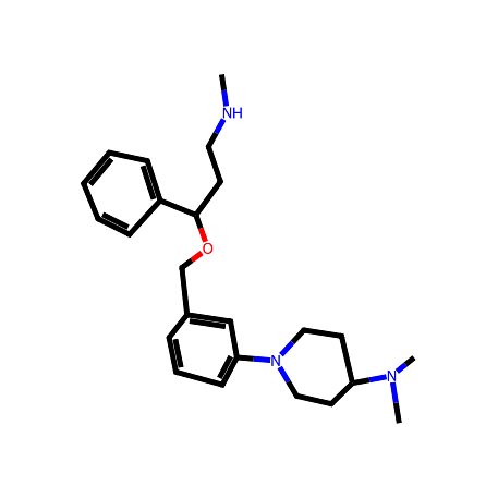 CNCCC(OCc1cccc(N2CCC(N(C)C)CC2)c1)c1ccccc1